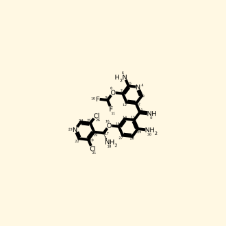 N=C(c1cnc(N)c(OC(F)F)c1)c1cc(O[C@H](N)c2c(Cl)cncc2Cl)ccc1N